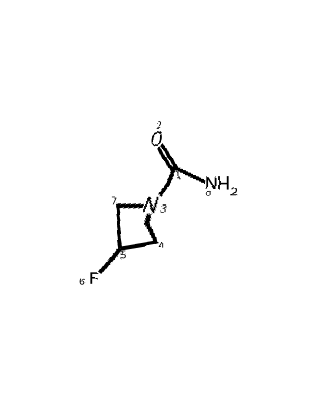 NC(=O)N1CC(F)C1